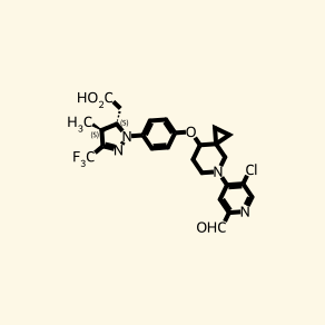 C[C@@H]1C(C(F)(F)F)=NN(c2ccc(OC3CCN(c4cc(C=O)ncc4Cl)CC34CC4)cc2)[C@H]1CC(=O)O